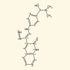 CN(C)C(O)c1ccc(N/C=C(\N=N)c2cc3ccncc3[nH]c2=O)cc1